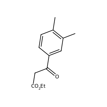 CCOC(=O)CC(=O)c1ccc(C)c(C)c1